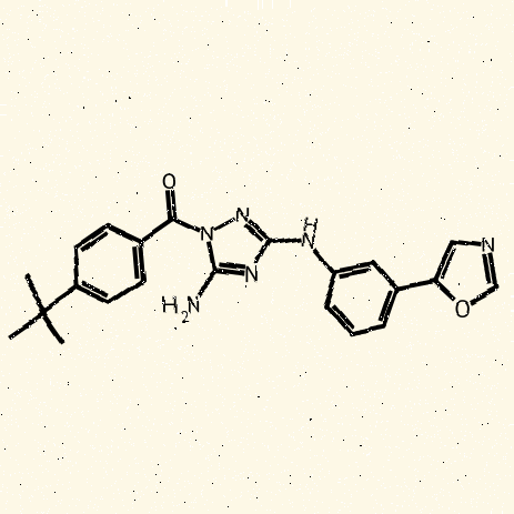 CC(C)(C)c1ccc(C(=O)n2nc(Nc3cccc(-c4cnco4)c3)nc2N)cc1